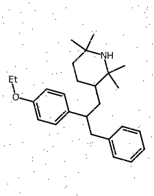 CCOc1ccc(C(Cc2ccccc2)CC2CCC(C)(C)NC2(C)C)cc1